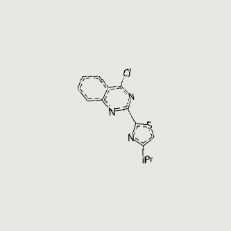 CC(C)c1csc(-c2nc(Cl)c3ccccc3n2)n1